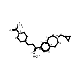 CC(=O)N1CCC(CCC(=O)c2ccc3c(c2)CCN(CC2CC2)CC3)CC1.Cl